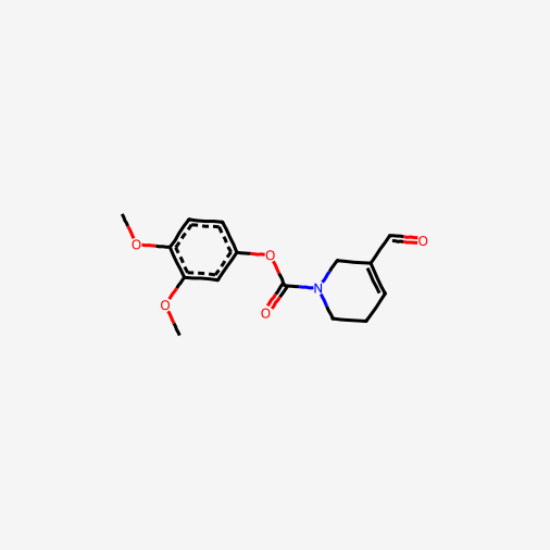 COc1ccc(OC(=O)N2CCC=C(C=O)C2)cc1OC